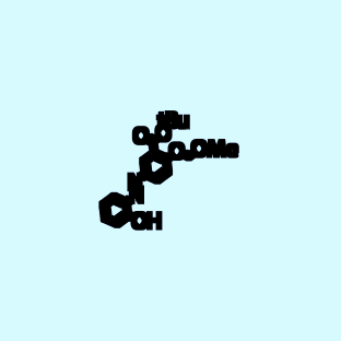 COCOc1ccc(/N=N/c2ccccc2O)cc1C(=O)OC(C)(C)C